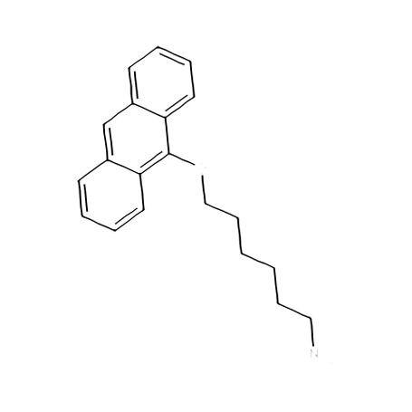 NCCCCCCOc1c2ccccc2cc2ccccc12